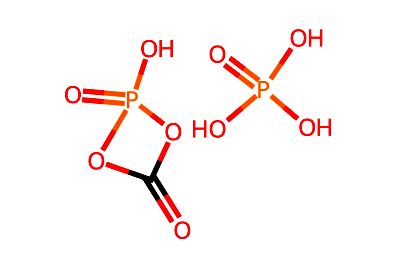 O=C1OP(=O)(O)O1.O=P(O)(O)O